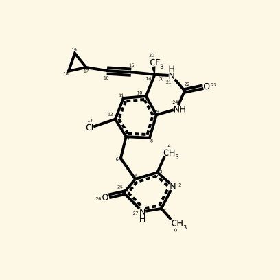 Cc1nc(C)c(Cc2cc3c(cc2Cl)[C@@](C#CC2CC2)(C(F)(F)F)NC(=O)N3)c(=O)[nH]1